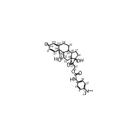 CN(C)c1ccc(NC(=O)OCC(=O)[C@@]2(O)CCC3C4CCC5=CC(=O)C=CC5(C)C4[C@@H](O)CC32C)cc1